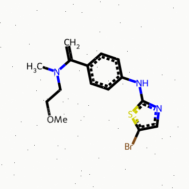 C=C(c1ccc(Nc2ncc(Br)s2)cc1)N(C)CCOC